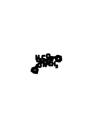 Cc1c(C(=O)OCc2ccccc2)nn(C)c1C(=O)OCc1ccccc1